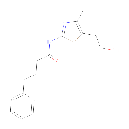 Cc1nc(NC(=O)CCCc2ccccc2)sc1CCO